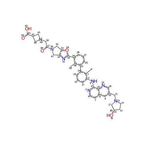 Cc1c(Nc2nccc3cc(CN4CC[C@@H](O)C4)cnc23)cccc1-c1cccc(-c2nc3c(o2)CN(C(=O)CN2CC(C(=O)O)C2)C3)c1C